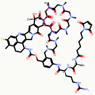 CC[C@@]1(O)C(=O)OCc2c1cc1n(c2=O)Cc2c-1nc1cc(F)c(C)c3c1c2[C@@H](NC(=O)OCc1ccc(NC(=O)[C@H](CCCNC(N)=O)NC(=O)[C@@H](NC(=O)CCCCCN2C(=O)C=CC2=O)C(C)C)cc1CN(C)C(=O)CN(C)C(=O)CN(C)C(=O)CN(C)C(=O)CN(C)C(=O)CN(C)C(=O)CN(C)C(=O)CN(C)C(=O)CN(C)C(=O)CN(C)C(=O)CN(C)C(C)=O)CC3